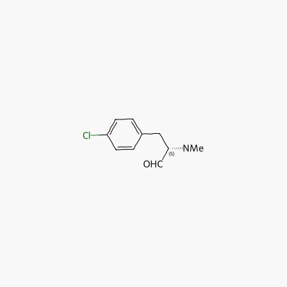 CN[C@H](C=O)Cc1ccc(Cl)cc1